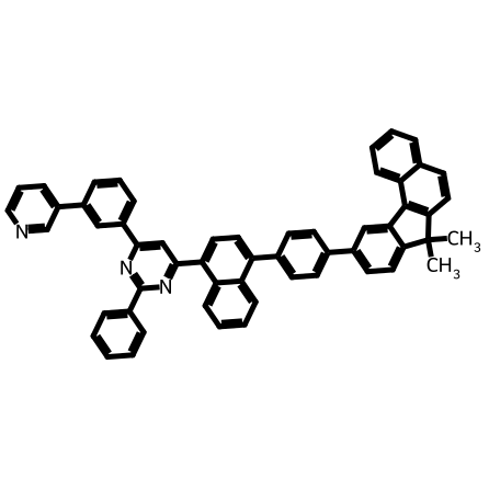 CC1(C)c2ccc(-c3ccc(-c4ccc(-c5cc(-c6cccc(-c7cccnc7)c6)nc(-c6ccccc6)n5)c5ccccc45)cc3)cc2-c2c1ccc1ccccc21